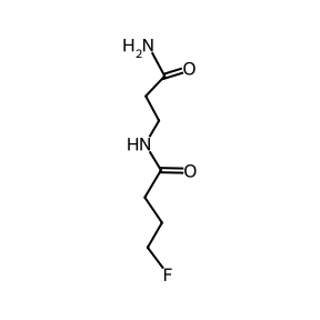 NC(=O)CCNC(=O)CCCF